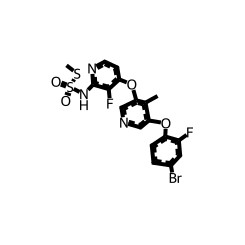 CSS(=O)(=O)Nc1nccc(Oc2cncc(Oc3ccc(Br)cc3F)c2C)c1F